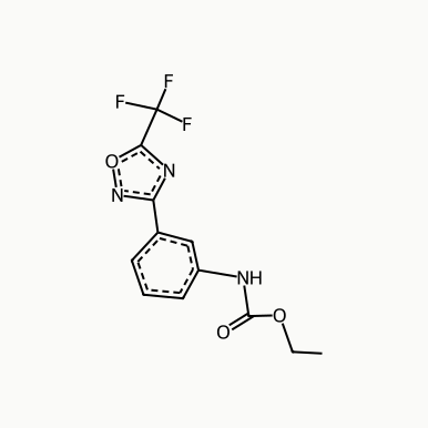 CCOC(=O)Nc1cccc(-c2noc(C(F)(F)F)n2)c1